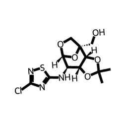 CC1(C)O[C@@H]2[C@@H](Nc3nc(Cl)ns3)[C@@H]3OC[C@](CO)(O3)[C@@H]2O1